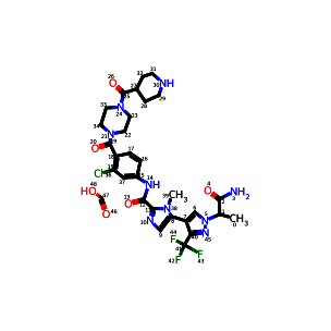 CC(C(N)=O)n1cc(-c2cnc(C(=O)Nc3ccc(C(=O)N4CCN(C(=O)C5CCNCC5)CC4)c(Cl)c3)n2C)c(C(F)(F)F)n1.O=CO